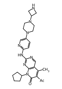 CC(=O)c1c(C)c2cnc(Nc3ccc(N4CCN(C5CNC5)CC4)cn3)nc2n(C2CCCC2)c1=O